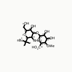 CCCCC(C)(C)C1OC(CO)C(O)C(OC2OC(C(=O)O)C(OC)C(O)C2O)C1NC(C)=O